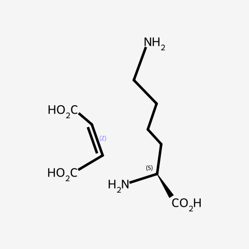 NCCCC[C@H](N)C(=O)O.O=C(O)/C=C\C(=O)O